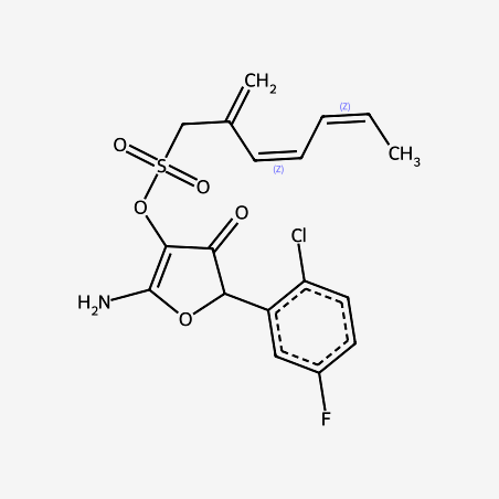 C=C(/C=C\C=C/C)CS(=O)(=O)OC1=C(N)OC(c2cc(F)ccc2Cl)C1=O